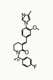 COc1cc(C=C2CCCN([C@H](C)c3ccc(F)cc3)C2=O)ccc1-n1cnc(C)c1